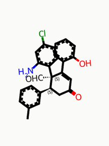 Cc1cccc([C@@H]2CC(=O)C=C(c3ccccc3O)[C@]2(C=O)c2ccc(Cl)cc2N)c1